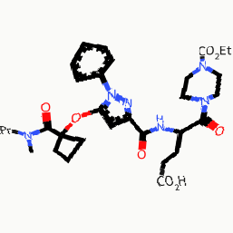 CCOC(=O)N1CCN(C(=O)C(CCC(=O)O)NC(=O)c2cc(OC3(C(=O)N(C)C(C)C)CCC3)n(-c3ccccc3)n2)CC1